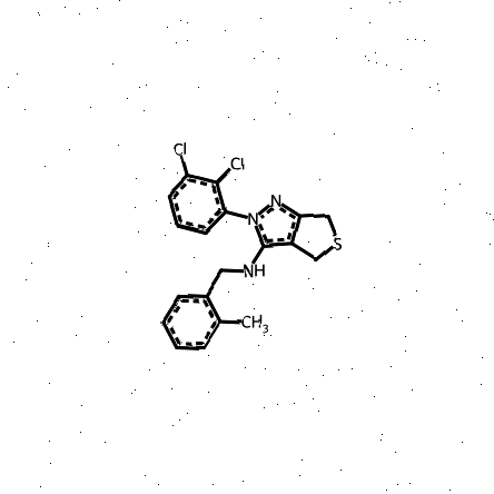 Cc1ccccc1CNc1c2c(nn1-c1cccc(Cl)c1Cl)CSC2